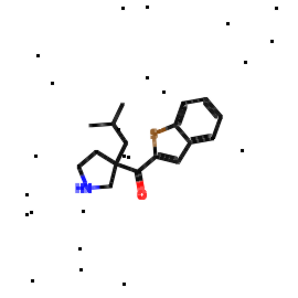 CC(C)CC1(C(=O)c2cc3ccccc3s2)CCNC1